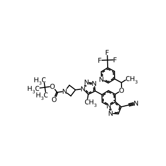 Cc1c(-c2cc(OC(C)c3cncc(C(F)(F)F)c3)c3c(C#N)cnn3c2)nnn1C1CN(C(=O)OC(C)(C)C)C1